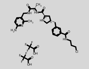 Cc1nc(N)ccc1CNC(=O)[C@H](C)NC(=O)[C@H]1C[C@H](Cc2cccc(C(=O)NCCCCl)c2)CN1.O=C(O)C(F)(F)F.O=C(O)C(F)(F)F